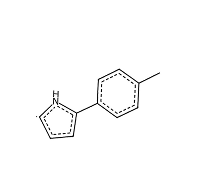 Cc1ccc(-c2cc[c][nH]2)cc1